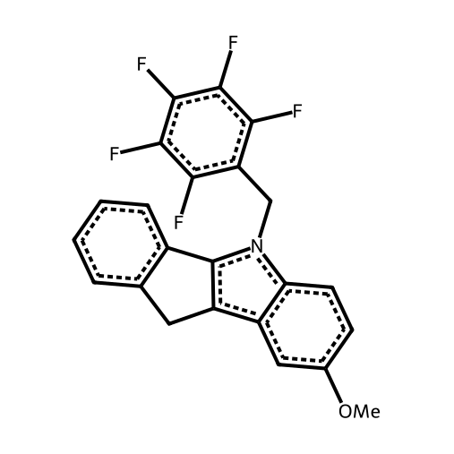 COc1ccc2c(c1)c1c(n2Cc2c(F)c(F)c(F)c(F)c2F)-c2ccccc2C1